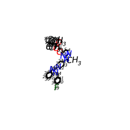 CN(c1nccc(OCOC(=O)C(C)(C)C(C)(C)CC(C)(C)C)n1)C1CCN(c2nc3ccccc3n2Cc2ccc(F)cc2)CC1